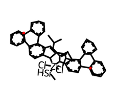 CCCc1ccc2c(c1-c1ccccc1-c1ccccc1)C=C(CC(C)C)[CH]2[Zr]([Cl])([Cl])([CH]1C(CC(C)C)=Cc2c1ccc(CCC)c2-c1ccccc1-c1ccccc1)[SiH](C)C